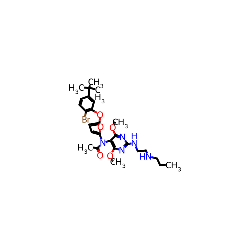 CCCNCCNc1nc(OC)c(N(C(C)=O)c2ccc(Oc3cc(C(C)(C)C)ccc3Br)o2)c(OC)n1